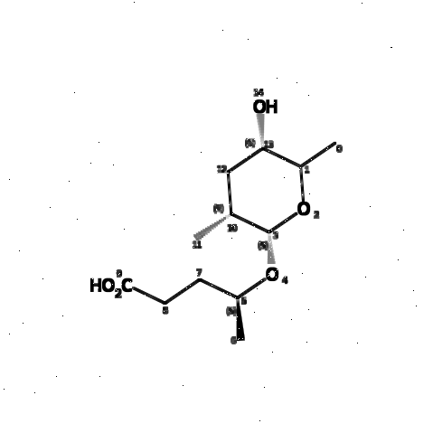 CC1O[C@H](O[C@@H](C)CCC(=O)O)[C@H](C)C[C@@H]1O